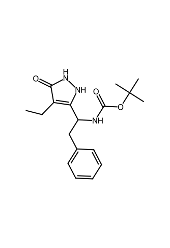 CCc1c(C(Cc2ccccc2)NC(=O)OC(C)(C)C)[nH][nH]c1=O